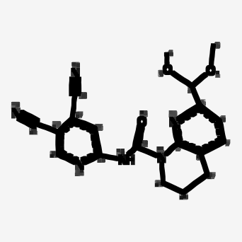 COC(OC)c1ccc2c(n1)N(C(=O)Nc1cc(C#N)c(C#N)cn1)CCC2